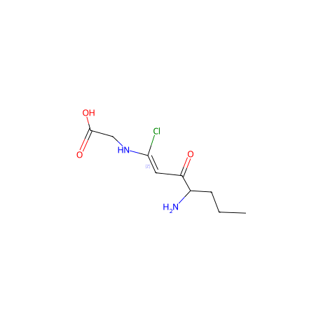 CCCC(N)C(=O)/C=C(\Cl)NCC(=O)O